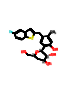 Cc1cc(O)c([C@@H]2O[C@H](CO)C[C@H](O)[C@H]2O)cc1Cc1cc2cc(F)ccc2s1